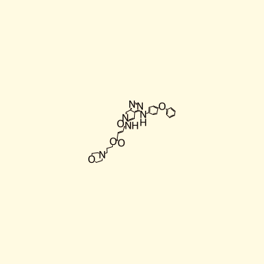 O=C(C=CC(=O)OCCCN1CCOCC1)Nc1cc2c(Nc3ccc(Oc4ccccc4)cc3)ncnc2cn1